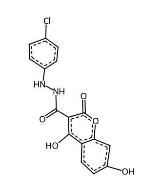 O=C(NNc1ccc(Cl)cc1)c1c(O)c2ccc(O)cc2oc1=O